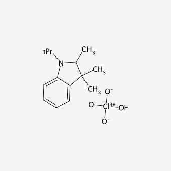 CCCN1c2ccccc2C(C)(C)C1C.[O-][Cl+3]([O-])([O-])O